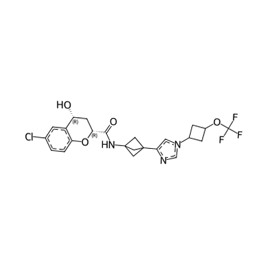 O=C(NC12CC(c3cn(C4CC(OC(F)(F)F)C4)cn3)(C1)C2)[C@H]1C[C@@H](O)c2cc(Cl)ccc2O1